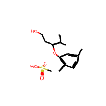 CS(=O)(=O)O.Cc1ccc(C)c(OC(CCO)C(C)C)c1